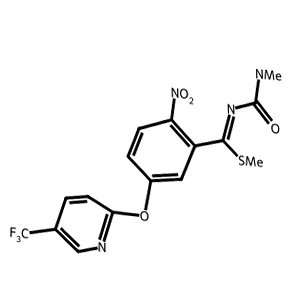 CNC(=O)N=C(SC)c1cc(Oc2ccc(C(F)(F)F)cn2)ccc1[N+](=O)[O-]